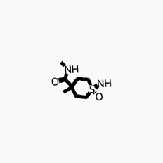 CNC(=O)C1(C)CCS(=N)(=O)CC1